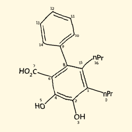 CCCc1c(O)c(O)c(C(=O)O)c(-c2ccccc2)c1CCC